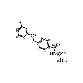 Cc1cc(OCc2ccc(C(=O)N[C@H](C)C(C)(C)C)cn2)ccn1